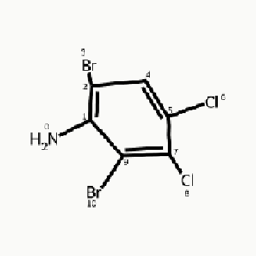 Nc1c(Br)cc(Cl)c(Cl)c1Br